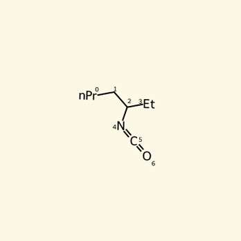 CCCCC(CC)N=C=O